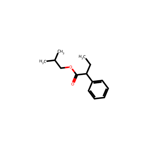 CCC(C(=O)OCC(C)C)c1ccccc1